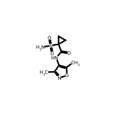 Cc1noc(C)c1NC(=O)C1(S(N)(=O)=O)CC1